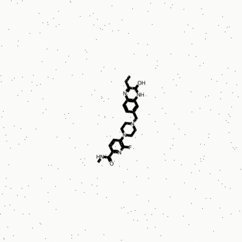 CCC1=Nc2ccc(CN3CCN(c4ccc(C(=O)NC)nc4F)CC3)cc2NC1O